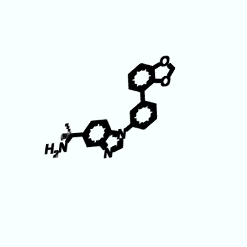 C[C@@H](N)c1ccc2c(c1)ncn2-c1cccc(-c2cccc3c2OCO3)c1